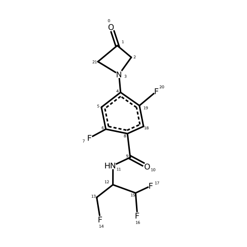 O=C1CN(c2cc(F)c(C(=O)NC(CF)C(F)F)cc2F)C1